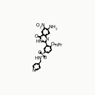 CCCOc1ccc(S(=O)(=O)NCc2ccncc2)cc1-c1nc2cc(N)c([N+](=O)[O-])cc2c(=O)[nH]1